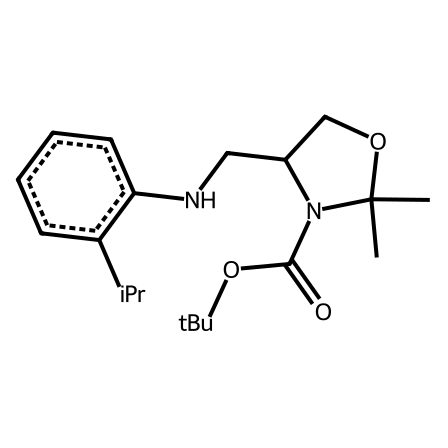 CC(C)c1ccccc1NCC1COC(C)(C)N1C(=O)OC(C)(C)C